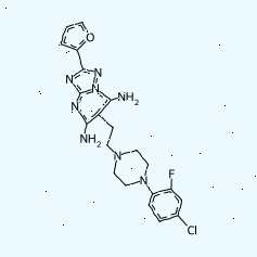 Nc1nc2nc(-c3ccco3)nn2c(N)c1CCN1CCN(c2ccc(Cl)cc2F)CC1